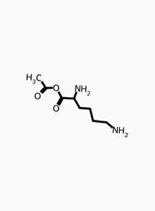 CC(=O)OC(=O)C(N)CCCCN